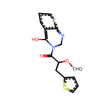 O=COC(Cc1cccs1)C(=O)N1CN=c2ccccc2=C1O